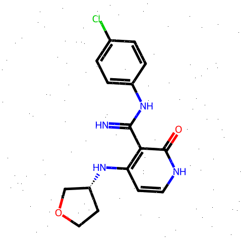 N=C(Nc1ccc(Cl)cc1)c1c(N[C@@H]2CCOC2)cc[nH]c1=O